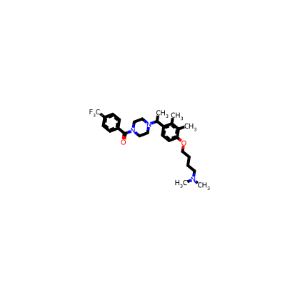 Cc1c(OCCCCN(C)C)ccc(C(C)N2CCN(C(=O)c3ccc(C(F)(F)F)cc3)CC2)c1C